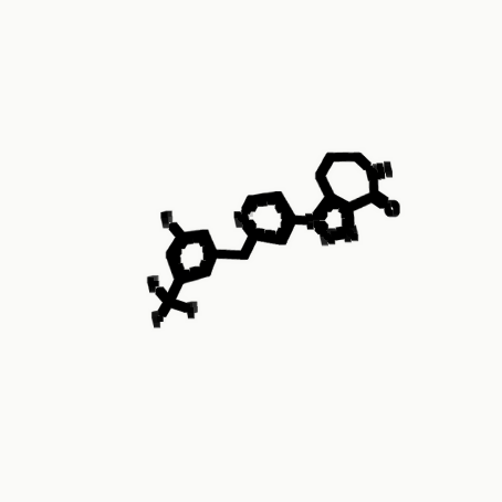 O=C1NCCCc2c1nnn2-c1ccnc(Cc2cc(F)cc(C(F)(F)F)c2)c1